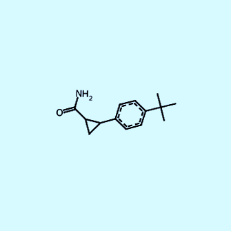 CC(C)(C)c1ccc(C2CC2C(N)=O)cc1